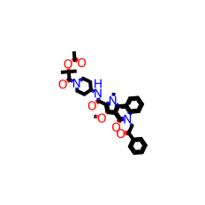 COc1c(C(=O)NC2CCN(C(=O)C(C)(C)OC(C)=O)CC2)n(C)c2c1c(=O)n(CC(=O)c1ccccc1)c1ccccc21